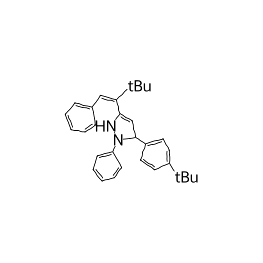 CC(C)(C)C(=Cc1ccccc1)C1=CC(c2ccc(C(C)(C)C)cc2)N(c2ccccc2)N1